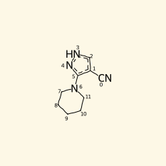 N#Cc1c[nH]nc1N1CCCCC1